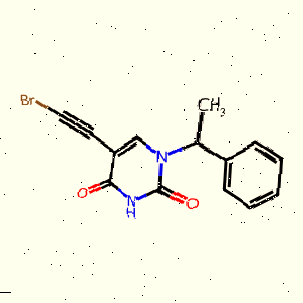 CC(c1ccccc1)n1cc(C#CBr)c(=O)[nH]c1=O